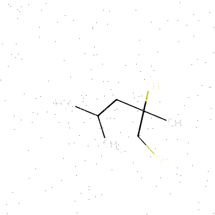 CC(C)CC(C)(S)CS